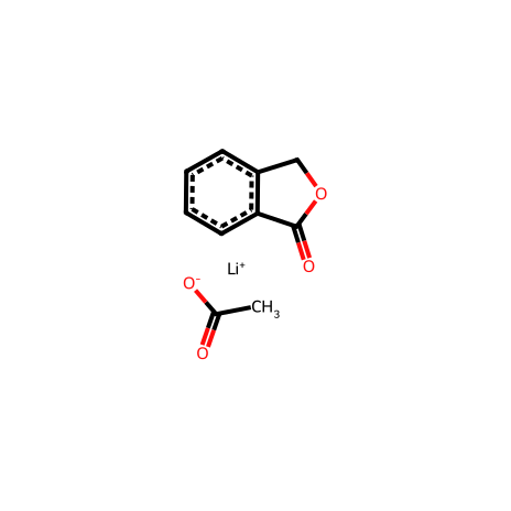 CC(=O)[O-].O=C1OCc2ccccc21.[Li+]